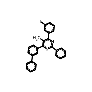 Cc1c(-c2cccc(I)c2)nc(-c2ccccc2)nc1-c1cccc(-c2ccccc2)c1